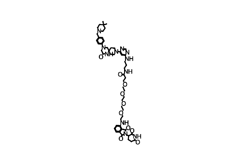 CC1(C)CCN(Cc2ccc(N3CC(=O)NC4(CCN(c5cc(NCCCNC(=O)CCOCCOCCOCCOCCNc6cccc7c6C(=O)N(C6CCC(=O)NC6=O)C7=O)ncn5)CC4)C3)cc2)CC1